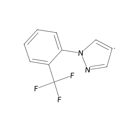 FC(F)(F)c1ccccc1-n1c[c]cn1